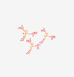 O=[PH](O)O.O=[PH](O)O.O=[PH](O)O